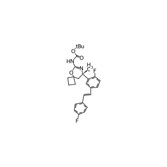 CC(C)(C)OC(=O)NC1=N[C@](C)(c2cc(C=Cc3ccc(F)cc3)ccc2F)CC2(CCC2)O1